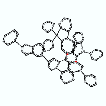 c1ccc(-c2ccc(N(c3ccc4c(c3)C(c3ccccc3)(c3ccccc3)c3ccccc3-4)c3cc(-c4ccc5cc(-c6ccccc6)ccc5c4)ccc3-c3ccccc3-c3ccc4c5ccccc5n(-c5ccccc5)c4c3)cc2)cc1